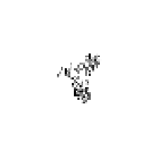 CCN(CCOC(=O)C(F)(F)C(F)(F)F)CCOC(=O)C(F)(F)C(F)(F)F